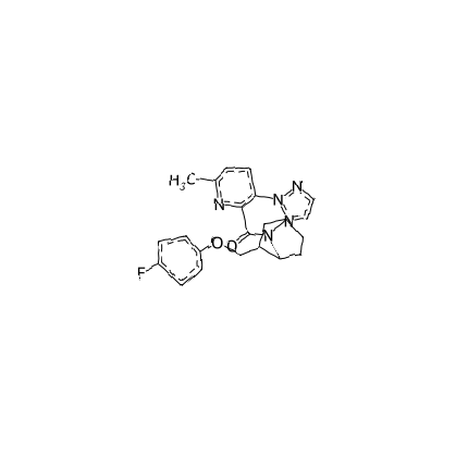 Cc1ccc(-n2nccn2)c(C(=O)N2C3CCC2C(COc2ccc(F)cc2)C3)n1